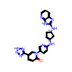 O=c1ccc(-c2nn[nH]n2)cn1-c1ccc(N[C@H]2CC[C@H](Nc3nc4cccnc4[nH]3)C2)nc1